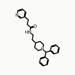 O=C(CCc1cccnc1)NCCC1CCN(C(c2ccccc2)c2ccccc2)CC1